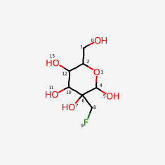 OCC1OC(O)C(O)(CF)C(O)C1O